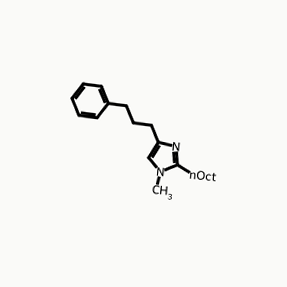 CCCCCCCCc1nc(CCCc2ccccc2)cn1C